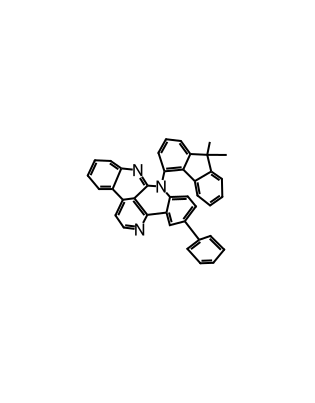 CC1(C)c2ccccc2-c2c(N3c4ccc(-c5ccccc5)cc4-c4nccc5c4c3nc3ccccc35)cccc21